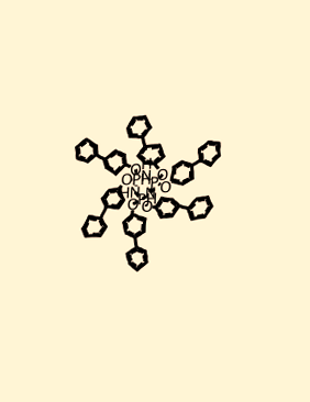 c1ccc(-c2ccc(OP3(Oc4ccc(-c5ccccc5)cc4)=N[PH](Oc4ccc(-c5ccccc5)cc4)(Oc4ccc(-c5ccccc5)cc4)N[PH](Oc4ccc(-c5ccccc5)cc4)(Oc4ccc(-c5ccccc5)cc4)N3)cc2)cc1